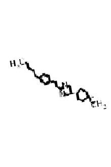 CCCCCc1ccc(CCc2ncc([C@H]3CC[C@H](CC)CC3)cn2)cc1